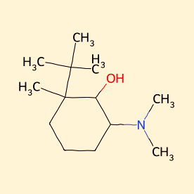 CN(C)C1CCCC(C)(C(C)(C)C)C1O